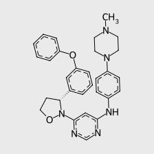 CN1CCN(c2ccc(Nc3cc(N4OCC[C@@H]4c4cccc(Oc5ccccc5)c4)ncn3)cc2)CC1